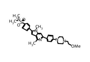 COCCN1CCN(c2ccc(-c3cc4c(cc(-c5ccc(S(=O)(=O)N(C)C)cc5)n4C)c(C)n3)cc2)CC1